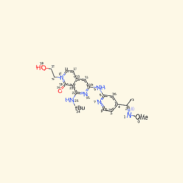 CO/N=C(\C)c1ccnc(Nc2cc3ccn(CCO)c(=O)c3c(NC(C)(C)C)n2)c1